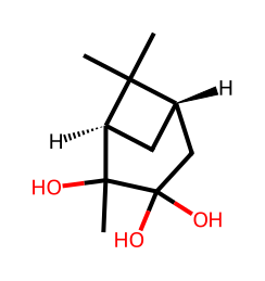 CC1(C)[C@H]2C[C@H]1C(C)(O)C(O)(O)C2